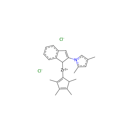 CC1=C(C)C(C)[C]([Zr+2][CH]2C(n3cc(C)cc3C)=Cc3ccccc32)=C1C.[Cl-].[Cl-]